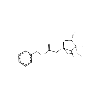 B[C@@H]1O[C@@]2(CC(=O)OCc3ccccc3)CN(C)[C@H]1C2C